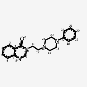 O=c1c2ccccc2ncn1CCN1CCN(c2ccccc2)CC1